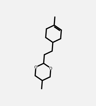 CC1=CCC(CCC2OCC(C)CO2)CC1